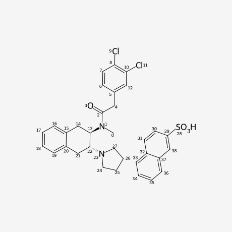 CN(C(=O)Cc1ccc(Cl)c(Cl)c1)[C@@H]1Cc2ccccc2C[C@H]1N1CCCC1.O=S(=O)(O)c1ccc2ccccc2c1